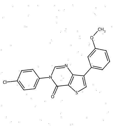 COc1cccc(-c2csc3c(=O)n(-c4ccc(Cl)cc4)cnc23)c1